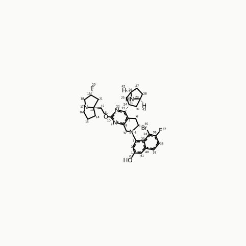 Oc1cc(N2CCc3c(nc(OC[C@@]45CCCN4C[C@H](F)C5)nc3[C@@H]3C[C@H]4CC[C@@H](C3)N4)C2)c2c(Br)c(F)ccc2c1